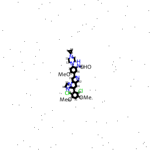 COc1cc(N2CCN(C3CC3)CC2)c(NC=O)cc1-c1cc2c(cn1)cc(-c1c(Cl)c(OC)cc(OC)c1Cl)c1nccn12